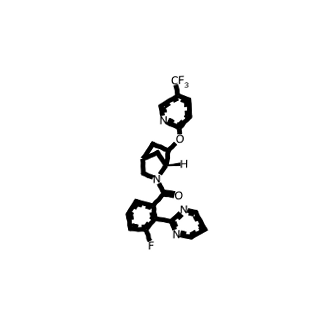 O=C(c1cccc(F)c1-c1ncccn1)N1CC2CC(Oc3ccc(C(F)(F)F)cn3)[C@H]1C2